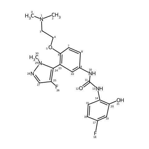 CN(C)CCOc1ccc(NC(=O)Nc2ccc(F)cc2O)cc1-c1c(F)cnn1C